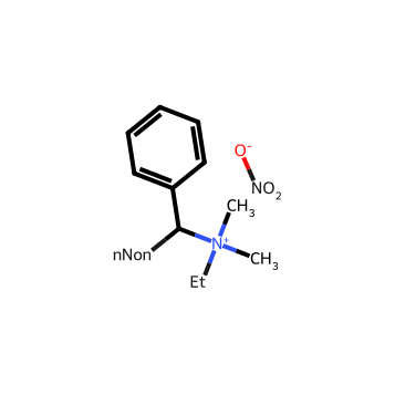 CCCCCCCCCC(c1ccccc1)[N+](C)(C)CC.O=[N+]([O-])[O-]